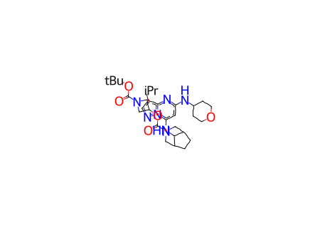 CC(C)c1cnn2c(NC3C4CCC3CN(C(=O)OC3CN(C(=O)OC(C)(C)C)C3)C4)cc(NC3CCOCC3)nc12